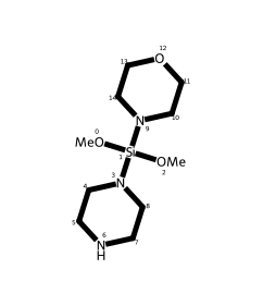 CO[Si](OC)(N1CCNCC1)N1CCOCC1